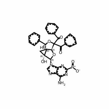 Nc1nc([N+](=O)[O-])nc2c1ncn2[C@@H]1O[C@H](C(OC(=O)c2ccccc2)(C(=O)c2ccccc2)C(=O)c2ccccc2)[C@]2(O)C[C@]12O